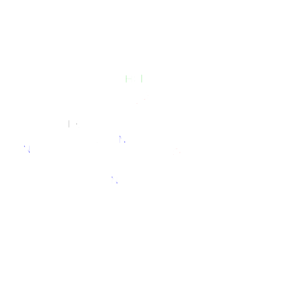 Cc1nc2c3c(ccn2c1CC#N)CCC(c1ccccc1)O3.Cl.O